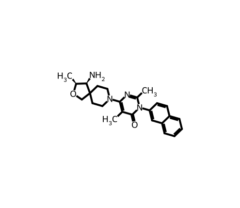 Cc1c(N2CCC3(CC2)CO[C@@H](C)[C@H]3N)nc(C)n(-c2ccc3ccccc3c2)c1=O